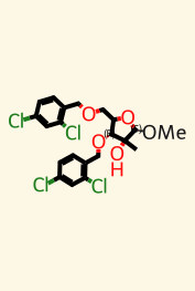 CO[C@H]1OC(COCc2ccc(Cl)cc2Cl)[C@@H](OCc2ccc(Cl)cc2Cl)C1(C)O